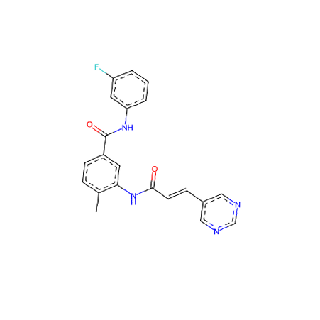 Cc1ccc(C(=O)Nc2cccc(F)c2)cc1NC(=O)C=Cc1cncnc1